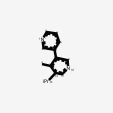 Cc1c(-c2cccnc2)cncc1C(C)C